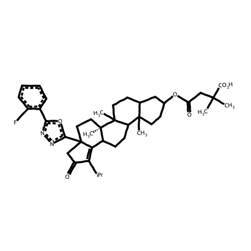 CC(C)C1=C2C3CCC4C5(C)CCC(OC(=O)CC(C)(C)C(=O)O)CC5CCC4(C)[C@]3(C)CCC2(c2nnc(-c3ccccc3F)o2)CC1=O